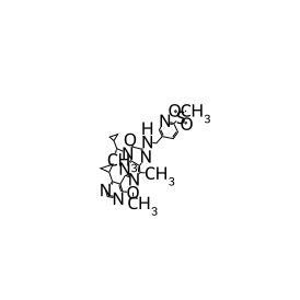 COc1ncnc(C2CC2)c1-c1nc(C)c2nc(NCc3ccc(S(C)(=O)=O)nc3)c(=O)n([C@@H](C)C3CC3)c2n1